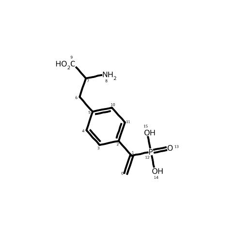 C=C(c1ccc(CC(N)C(=O)O)cc1)P(=O)(O)O